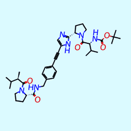 CC(C)[C@@H](C)C(=O)N1CCC[C@H]1C(=O)NCc1ccc(C#Cc2cnc([C@@H]3CCCN3C(=O)[C@H](NC(=O)OC(C)(C)C)C(C)C)[nH]2)cc1